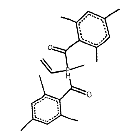 C=C[PH](C)(C(=O)c1c(C)cc(C)cc1C)C(=O)c1c(C)cc(C)cc1C